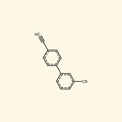 C#Cc1ccc(-c2cccc(C#N)c2)cc1